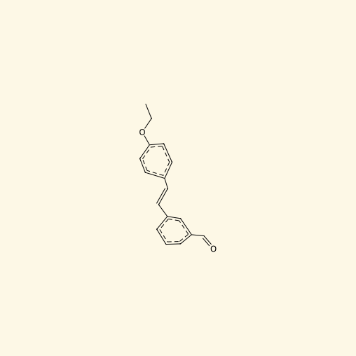 CCOc1ccc(C=Cc2cccc(C=O)c2)cc1